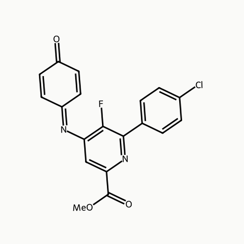 COC(=O)c1cc(N=C2C=CC(=O)C=C2)c(F)c(-c2ccc(Cl)cc2)n1